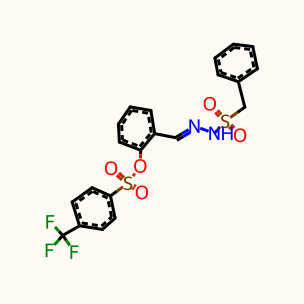 O=S(=O)(Cc1ccccc1)N/N=C/c1ccccc1OS(=O)(=O)c1ccc(C(F)(F)F)cc1